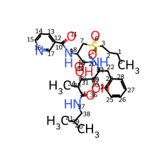 CCCCS(=O)(=O)CC(NC(=O)c1cccnc1)C(=O)N[C@@H](Cc1ccccc1)[C@@H](O)[C@H](O)C(C)C(=O)NCC(C)C